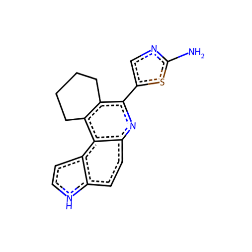 Nc1ncc(-c2nc3ccc4[nH]ccc4c3c3c2CCCC3)s1